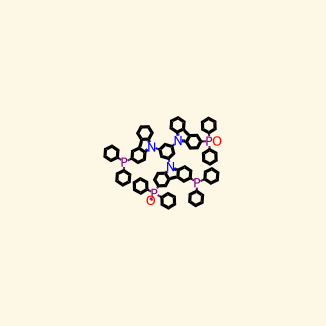 O=P(c1ccccc1)(c1ccccc1)c1ccc2c(c1)c1ccccc1n2-c1cc(-n2c3ccccc3c3cc(P(c4ccccc4)c4ccccc4)ccc32)cc(-n2c3ccc(P(c4ccccc4)c4ccccc4)cc3c3cc(P(=O)(c4ccccc4)c4ccccc4)ccc32)c1